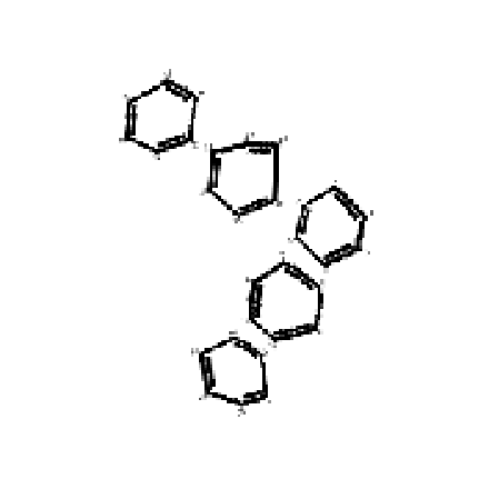 c1ccccc1.c1ccccc1.c1ccccc1.c1ccccc1.c1ccccc1